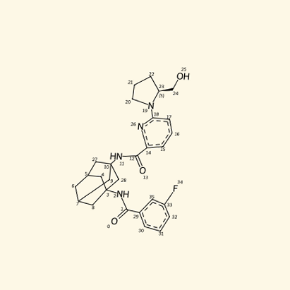 O=C(NC12CC3CC(C1)CC(NC(=O)c1cccc(N4CCC[C@H]4CO)n1)(C3)C2)c1cccc(F)c1